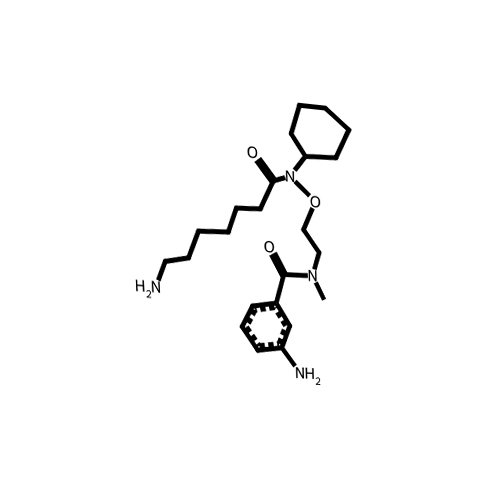 CN(CCON(C(=O)CCCCCCN)C1CCCCC1)C(=O)c1cccc(N)c1